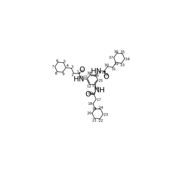 O=C(CCC1CCCCC1)Nc1cc(NC(=O)CCC2CCCCC2)cc(NC(=O)CCC2CCCCC2)c1